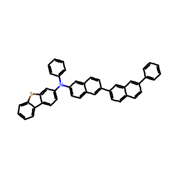 c1ccc(-c2ccc3ccc(-c4ccc5cc(N(c6ccccc6)c6ccc7c(c6)sc6ccccc67)ccc5c4)cc3c2)cc1